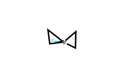 [F][Ir]12([CH2][CH2]1)[CH2][CH2]2